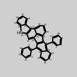 c1ccc(-c2c3c(c(-c4ccccc4)c4ccccc24)-c2cc4[nH]c5ccccc5c4c4cccc-3c24)cc1